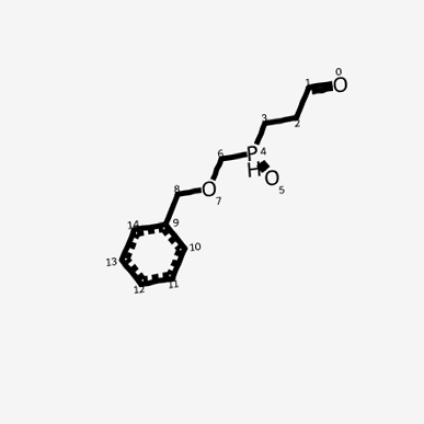 O=CCC[PH](=O)COCc1ccccc1